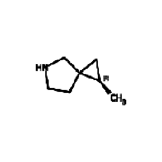 C[C@@H]1CC12CCNC2